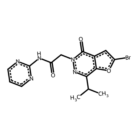 CC(C)c1nn(CC(=O)Nc2ncccn2)c(=O)c2cc(Br)oc12